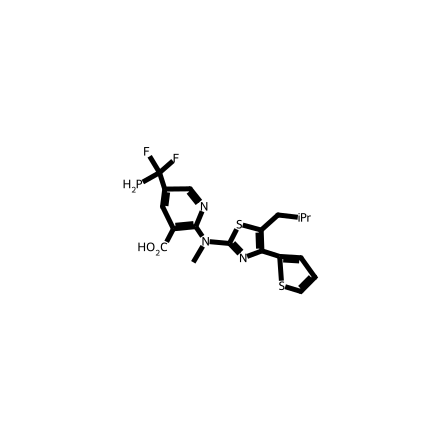 CC(C)Cc1sc(N(C)c2ncc(C(F)(F)P)cc2C(=O)O)nc1-c1cccs1